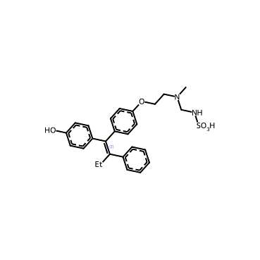 CC/C(=C(\c1ccc(O)cc1)c1ccc(OCCN(C)CNS(=O)(=O)O)cc1)c1ccccc1